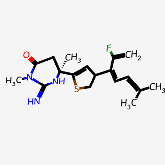 C=C(F)/C(=C\C=C(C)C)C1C=C([C@]2(C)CC(=O)N(C)C(=N)N2)SC1